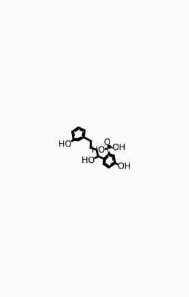 O=P(O)(O)c1cc(O)ccc1C(O)CCCc1cccc(O)c1